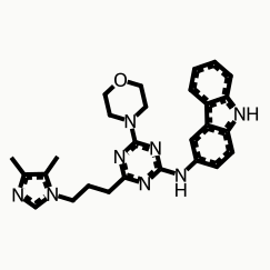 Cc1ncn(CCCc2nc(Nc3ccc4[nH]c5ccccc5c4c3)nc(N3CCOCC3)n2)c1C